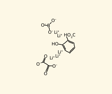 O=C(O)c1ccccc1O.O=C([O-])C(=O)[O-].[Li+].[Li+].[Li+].[Li+].[Li+].[O-]B([O-])[O-]